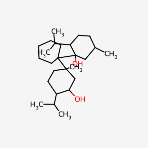 CC1CCC(C(C)C)C(O)(C2(C3(C)CCC(C(C)C)C(O)C3)CCCCC2)C1